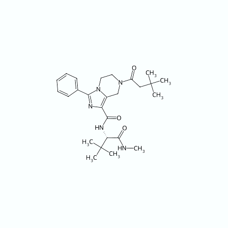 CNC(=O)[C@@H](NC(=O)c1nc(-c2ccccc2)n2c1CN(C(=O)CC(C)(C)C)CC2)C(C)(C)C